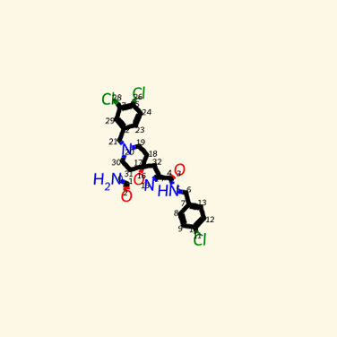 NC=O.O=C(NCc1ccc(Cl)cc1)C1=NOC2(CCN(Cc3ccc(Cl)c(Cl)c3)CC2)C1